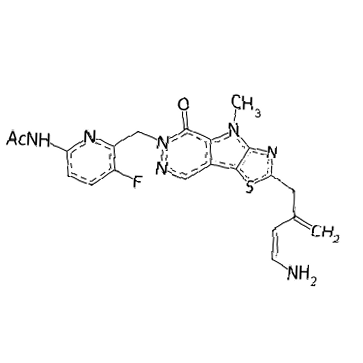 C=C(/C=C\N)Cc1nc2c(s1)c1cnn(Cc3nc(NC(C)=O)ccc3F)c(=O)c1n2C